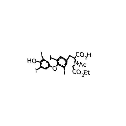 CCOC(=O)CN(C(C)=O)C(Cc1cc(I)c(Oc2cc(I)c(O)c(I)c2)c(I)c1)C(=O)O